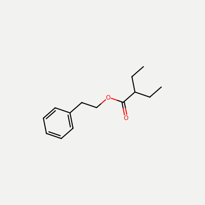 CCC(CC)C(=O)OCCc1ccccc1